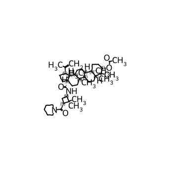 C=C(C)[C@@H]1CC[C@]2(C(=O)N[C@@H]3C[C@H](C(=O)N4CCCCC4)C3(C)C)CC[C@]3(C)[C@H](CC[C@@H]4[C@@]5(C)CC[C@H](OC(C)=O)C(C)(C)[C@@H]5CC[C@]43C)[C@@H]12